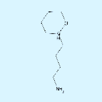 NCCCC[SiH]1CCCCO1